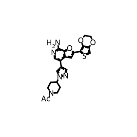 CC(=O)N1CCC(n2cc(-c3cnc(N)c4oc(-c5scc6c5OCCO6)cc34)cn2)CC1